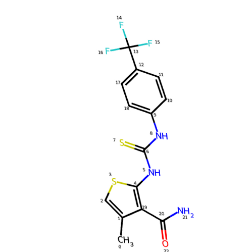 Cc1csc(NC(=S)Nc2ccc(C(F)(F)F)cc2)c1C(N)=O